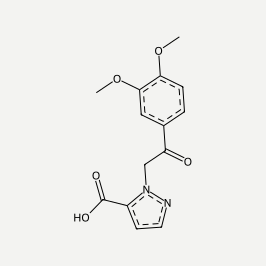 COc1ccc(C(=O)Cn2nccc2C(=O)O)cc1OC